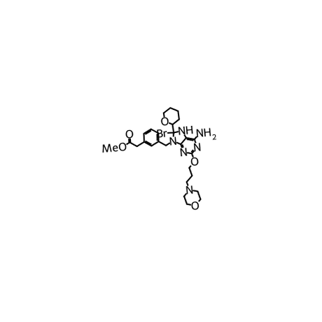 COC(=O)Cc1cccc(CN2c3nc(OCCCN4CCOCC4)nc(N)c3NC2(Br)C2CCCCO2)c1